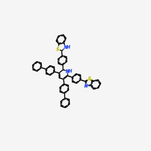 C1=C(c2ccc(-c3ccccc3)cc2)C(c2ccc(C3Nc4ccccc4S3)cc2)NC(c2ccc(-c3nc4ccccc4s3)cc2)=C1c1ccc(-c2ccccc2)cc1